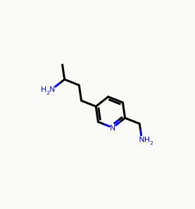 CC(N)CCc1ccc(CN)nc1